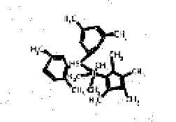 CC1=C(C)C(C)[C]([Ti]([CH3])([CH3])([CH3])[SiH](c2cc(C)cc(C)c2)c2cc(C)ccc2C)=C1C